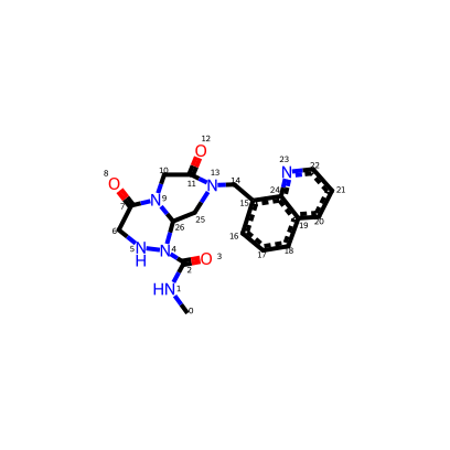 CNC(=O)N1NCC(=O)N2CC(=O)N(Cc3cccc4cccnc34)CC21